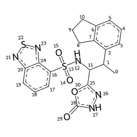 CC(c1cccc2c1CCC2)C(NS(=O)(=O)c1cccc2nsnc12)c1n[nH]c(=O)o1